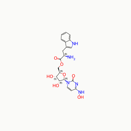 N[C@H](Cc1c[nH]c2ccccc12)C(=O)OC[C@H]1O[C@@H](n2ccc(NO)nc2=O)[C@H](O)[C@@H]1O